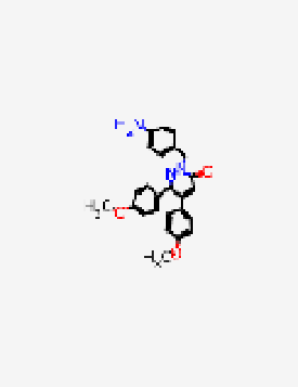 COc1ccc(-c2cc(=O)n(Cc3ccc(N)cc3)nc2-c2ccc(OC)cc2)cc1